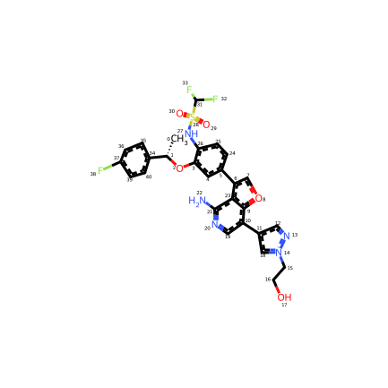 C[C@H](Oc1cc(-c2coc3c(-c4cnn(CCO)c4)cnc(N)c23)ccc1NS(=O)(=O)C(F)F)c1ccc(F)cc1